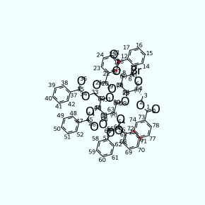 O=C(OC[C@H]1O[C@H](Br)[C@H](OC(=O)c2ccccc2)[C@@H](OC(=O)c2ccccc2)[C@@H]1O[C@@H]1O[C@H](COC(=O)c2ccccc2)[C@@H](OC(=O)c2ccccc2)[C@H](OC(=O)c2ccccc2)[C@H]1OC(=O)c1ccccc1)c1ccccc1